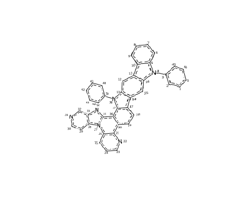 c1ccc(-n2c3ccccc3c3cc4c(cc32)c2ccc3c5ncccc5n5c6ccncc6nc5c3c2n4-c2ccccc2)cc1